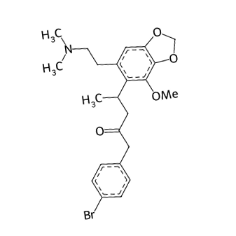 COc1c2c(cc(CCN(C)C)c1C(C)CC(=O)Cc1ccc(Br)cc1)OCO2